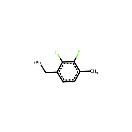 Cc1ccc(CC(C)(C)C)c(F)c1F